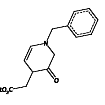 CCOC(=O)CC1C=CN(Cc2ccccc2)CC1=O